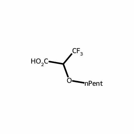 CCCCCOC(C(=O)O)C(F)(F)F